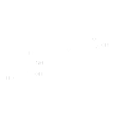 COC(=O)c1ccc(COc2ccc(CCC(C)NCC(O)c3ccc(O)cc3)cc2)cc1